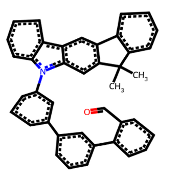 CC1(C)c2ccccc2-c2cc3c4ccccc4n(-c4cccc(-c5cccc(-c6ccccc6C=O)c5)c4)c3cc21